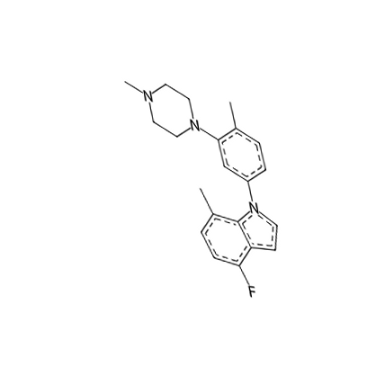 Cc1ccc(-n2ccc3c(F)ccc(C)c32)cc1N1CCN(C)CC1